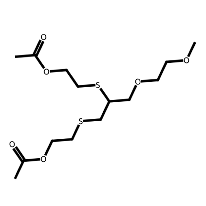 COCCOCC(CSCCOC(C)=O)SCCOC(C)=O